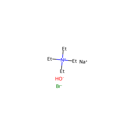 CC[N+](CC)(CC)CC.[Br-].[Na+].[OH-]